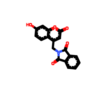 O=C1c2ccccc2C(=O)N1Cc1cc(=O)oc2cc(O)ccc12